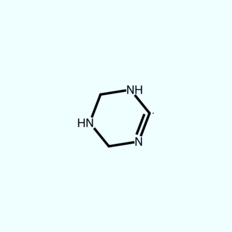 [C]1=NCNCN1